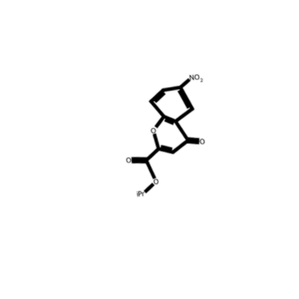 CC(C)OC(=O)c1cc(=O)c2cc([N+](=O)[O-])ccc2o1